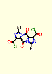 CCc1nc(C(=O)Cl)c2c(=O)n3c(CC)nc(C(=O)Cl)c3c(=O)n12